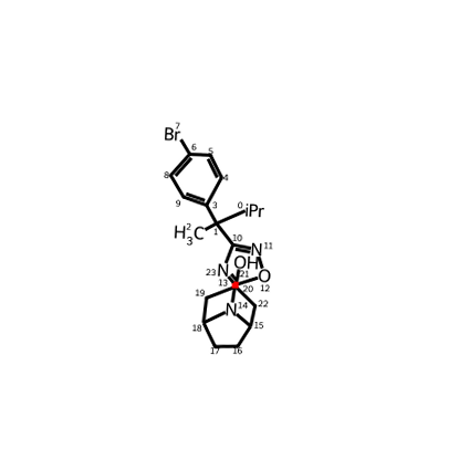 CC(C)C(C)(c1ccc(Br)cc1)c1noc(N2C3CCC2CC(O)C3)n1